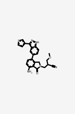 COCC(C#N)CN1Cc2c(-c3ccc4[nH]nc(-c5ccsc5)c4c3)ccc(N)c2C1=O